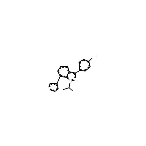 CC(C)n1nc(-c2ccc(O)cc2)c2cccc(-c3ccsc3)c21